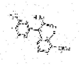 COc1cccc(C(C(N)=O)c2cc(C(F)(F)F)ccn2)c1F